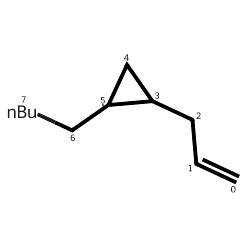 C=CCC1C[C]1CCCCC